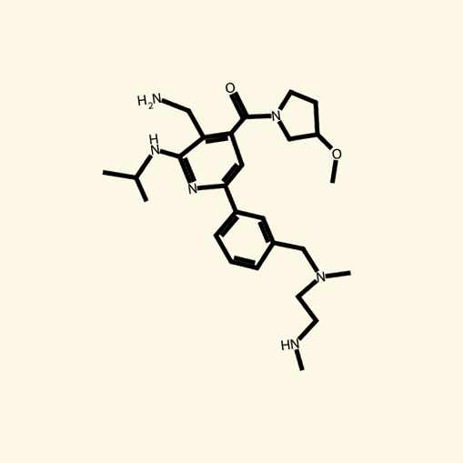 CNCCN(C)Cc1cccc(-c2cc(C(=O)N3CCC(OC)C3)c(CN)c(NC(C)C)n2)c1